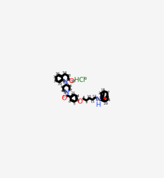 Cl.O=C(c1ccc(OCCCCCNC23CC4CC(CC(C4)C2)C3)cc1)N1CCC(N2C(=O)CCc3ccccc32)CC1